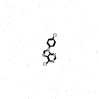 Clc1ccc(-n2cnc3c(Cl)ncnc32)cc1